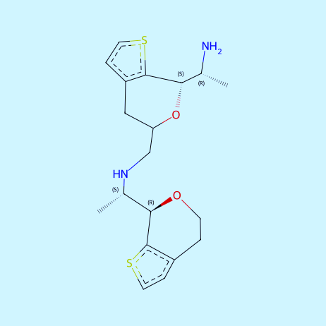 C[C@H](NCC1Cc2ccsc2[C@H]([C@@H](C)N)O1)[C@H]1OCCc2ccsc21